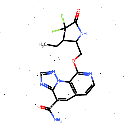 CCC1C(COc2nccc3cc(C(N)=O)c4ncnn4c23)NC(=O)C1(F)F